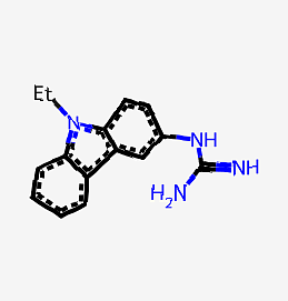 CCn1c2ccccc2c2cc(NC(=N)N)ccc21